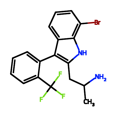 CC(N)Cc1[nH]c2c(Br)cccc2c1-c1ccccc1C(F)(F)F